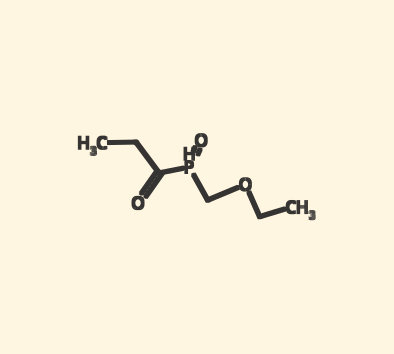 CCOC[PH](=O)C(=O)CC